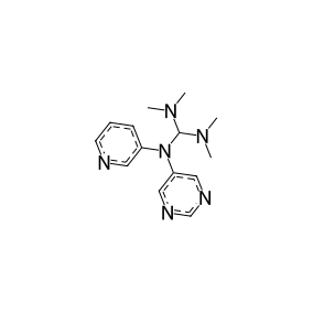 CN(C)C(N(C)C)N(c1cccnc1)c1cncnc1